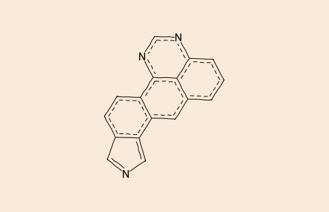 C1=NC=c2c1ccc1c2cc2cccc3ncnc1c23